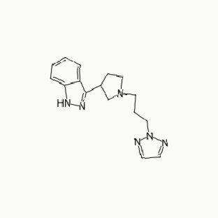 c1ccc2c(C3CCN(CCCn4nccn4)C3)n[nH]c2c1